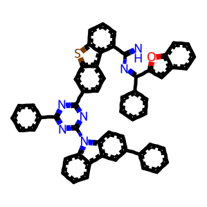 N=C(/N=C(/c1ccccc1)c1cc2ccccc2o1)c1cccc2sc3cc(-c4nc(-c5ccccc5)nc(-n5c6ccccc6c6cc(-c7ccccc7)ccc65)n4)ccc3c12